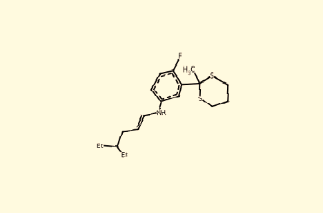 CCC(CC)CC=CNc1ccc(F)c(C2(C)SCCCS2)c1